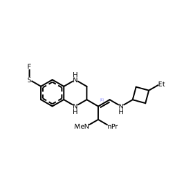 CCCC(NC)/C(=C\NC1CC(CC)C1)C1CNc2cc(SF)ccc2N1